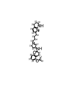 CC(=O)C[C@@H](CC(=O)N[C@@H]1CCN(CCCCc2ccc3c(n2)NCCC3)C1)c1ccccc1